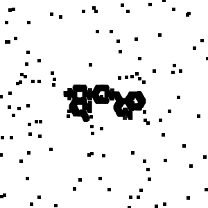 Cc1ccc2c(n1)N(C1CCN(Cc3ccnc4ccccc34)CC1)C=CN2C